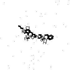 C=C(CC1Cc2cc(Cl)c3c(cnn3CCCC)c2CN(CC(F)(F)F)C1=O)N1CCC(N2CCc3ccccc3NC2=O)CC1